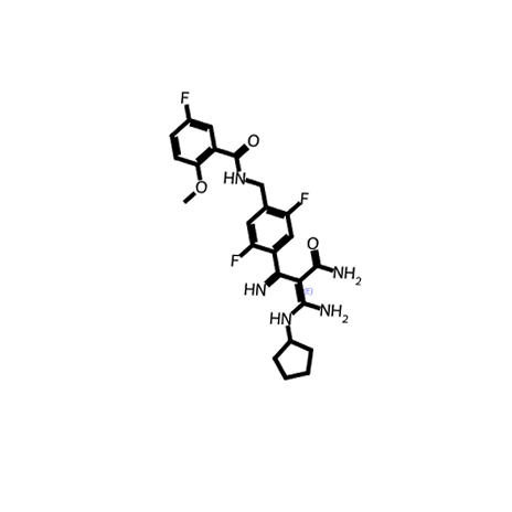 COc1ccc(F)cc1C(=O)NCc1cc(F)c(C(=N)/C(C(N)=O)=C(/N)NC2CCCC2)cc1F